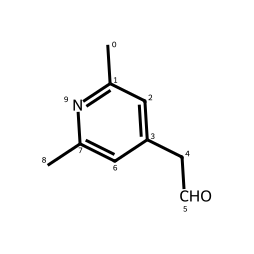 Cc1cc(CC=O)cc(C)n1